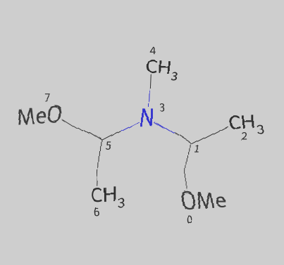 COC(C)N(C)C(C)OC